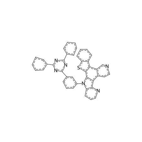 c1ccc(-c2nc(-c3ccccc3)nc(-c3cccc(-n4c5cccnc5c5c6ccncc6c6c7ccccc7sc6c54)c3)n2)cc1